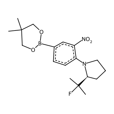 CC1(C)COB(c2ccc(N3CCC[C@H]3C(C)(C)F)c([N+](=O)[O-])c2)OC1